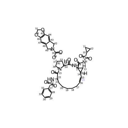 O=C1N[C@]2(C(=O)NS(=O)(=O)C3CC3)C[C@H]2/C=C\CCCCC[C@H](NS(=O)(=O)c2ccccc2)C(=O)N2C[C@H](OC(=O)N3Cc4cc5c(cc4C3)OCO5)C[C@@H]12